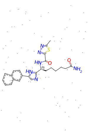 Cc1nnc(C(=O)N[C@@H](CCCCCC(N)=O)c2ncc(-c3ccc4ccccc4c3)[nH]2)s1